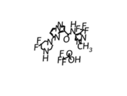 Cn1cc(NC(=O)c2cnn3ccc(N4CCNCC(F)(F)C4)nc23)c(C(F)(F)F)n1.O=C(O)C(F)(F)F